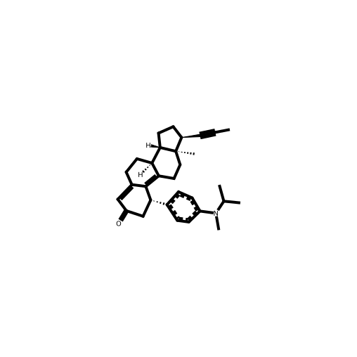 CC#C[C@@H]1CC[C@H]2[C@@H]3CCC4=CC(=O)C[C@@H](c5ccc(N(C)C(C)C)cc5)C4=C3CC[C@]12C